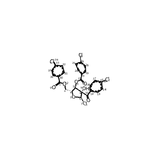 O=C(OC[C@H]1O[C@H](Cl)[C@](O)(C(=O)c2ccc(Cl)cc2)[C@@H]1OC(=O)c1ccc(Cl)cc1)c1ccc(Cl)cc1